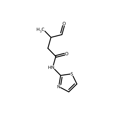 CC(C=O)CC(=O)Nc1nccs1